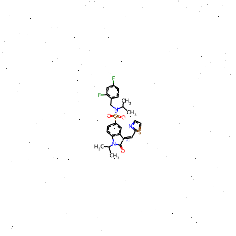 CC(C)N1C(=O)/C(=C/c2nccs2)c2cc(S(=O)(=O)N(Cc3ccc(F)cc3F)C(C)C)ccc21